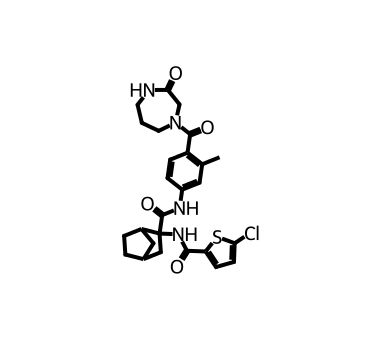 Cc1cc(NC(=O)C2(NC(=O)c3ccc(Cl)s3)CC3CCC2C3)ccc1C(=O)N1CCCNC(=O)C1